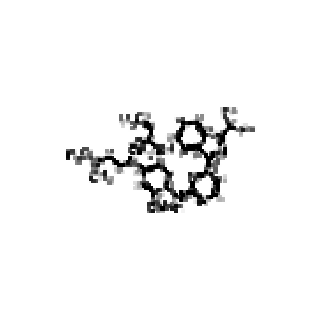 C=CC(=O)Nc1cc(Nc2nccc(-c3nn(C(F)F)c4ccccc34)n2)c(OC)cc1N(C)CCN(C)C